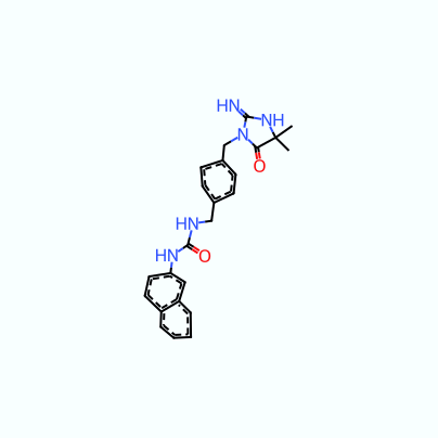 CC1(C)NC(=N)N(Cc2ccc(CNC(=O)Nc3ccc4ccccc4c3)cc2)C1=O